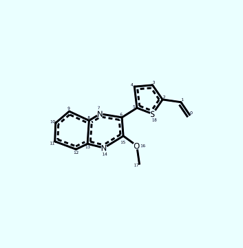 C=Cc1ccc(-c2nc3ccccc3nc2OC)s1